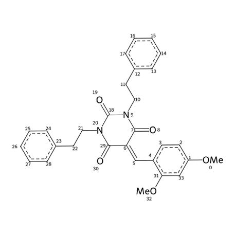 COc1ccc(C=C2C(=O)N(CCc3ccccc3)C(=O)N(CCc3ccccc3)C2=O)c(OC)c1